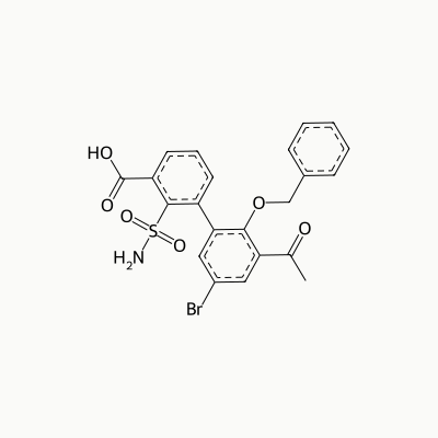 CC(=O)c1cc(Br)cc(-c2cccc(C(=O)O)c2S(N)(=O)=O)c1OCc1ccccc1